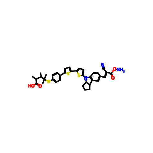 CC(C(=O)O)C(C)C(C)(C)Sc1ccc(-c2ccc(-c3ccc(N4c5ccc(/C=C(\C#N)C(=O)ON)cc5C5CCCC54)s3)s2)cc1